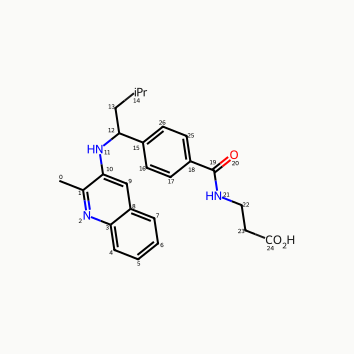 Cc1nc2ccccc2cc1NC(CC(C)C)c1ccc(C(=O)NCCC(=O)O)cc1